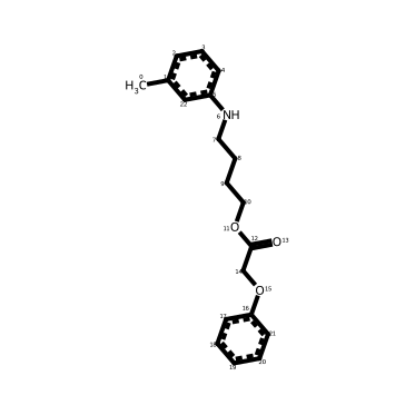 Cc1cccc(NCCCCOC(=O)COc2ccccc2)c1